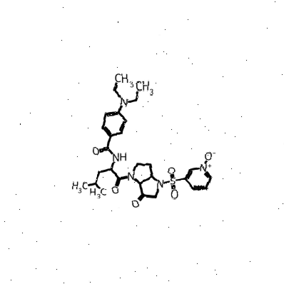 CCN(CC)c1ccc(C(=O)NC(CC(C)C)C(=O)N2CCC3C2C(=O)CN3S(=O)(=O)c2ccc[n+]([O-])c2)cc1